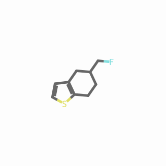 FCC1CCc2sccc2C1